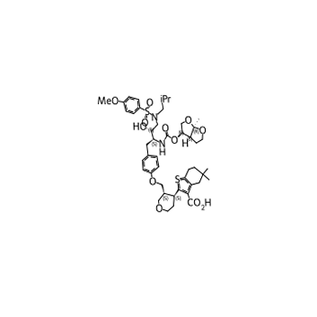 COc1ccc(S(=O)(=O)N(CC(C)C)C[C@@H](O)[C@H](Cc2ccc(OC[C@@H]3COCC[C@@H]3c3sc4c(c3C(=O)O)CC(C)(C)CC4)cc2)NC(=O)O[C@H]2CO[C@@]3(C)OCC[C@@H]23)cc1